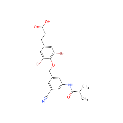 CC(C)C(=O)Nc1cc(C#N)cc(COc2c(Br)cc(CCC(=O)O)cc2Br)c1